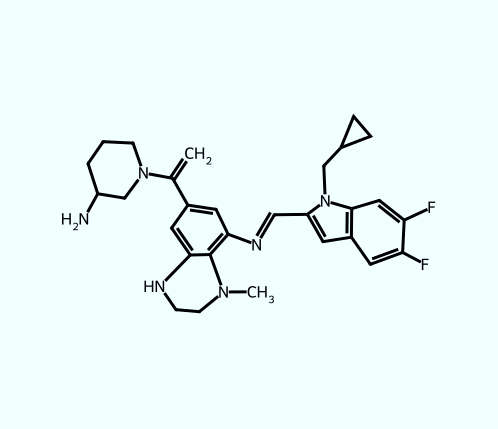 C=C(c1cc(/N=C/c2cc3cc(F)c(F)cc3n2CC2CC2)c2c(c1)NCCN2C)N1CCCC(N)C1